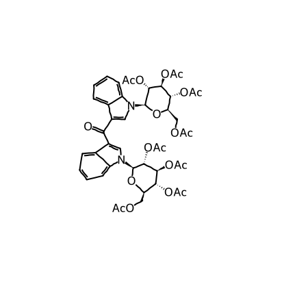 CC(=O)OC[C@H]1O[C@@H](n2cc(C(=O)c3cn([C@@H]4O[C@H](COC(C)=O)[C@@H](OC(C)=O)[C@H](OC(C)=O)[C@H]4OC(C)=O)c4ccccc34)c3ccccc32)[C@H](OC(C)=O)[C@@H](OC(C)=O)[C@@H]1OC(C)=O